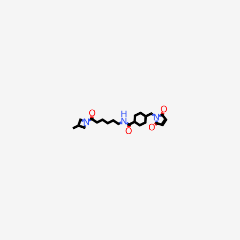 CC1CN(C(=O)CCCCCNC(=O)C2CCC(CN3C(=O)C=CC3=O)CC2)C1